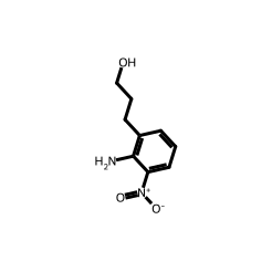 Nc1c(CCCO)cccc1[N+](=O)[O-]